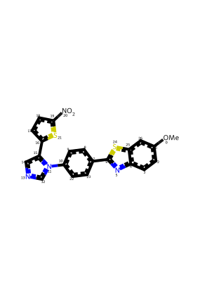 COc1ccc2nc(-c3ccc(-n4cncc4-c4ccc([N+](=O)[O-])s4)cc3)sc2c1